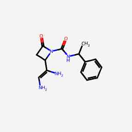 CC(NC(=O)N1C(=O)CC1/C(N)=C/N)c1ccccc1